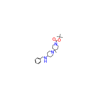 CC(C)(C)OC(=O)N1CCC(C)(N2CCC(NCc3ccccc3)CC2)CC1